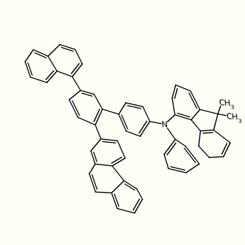 CC1(C)C2=C(CCC=C2)c2c(N(c3ccccc3)c3ccc(-c4cc(-c5cccc6ccccc56)ccc4-c4ccc5c(ccc6ccccc65)c4)cc3)cccc21